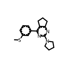 CSc1cccc(-c2nc(N3CCCC3)nc3c2CCC3)c1